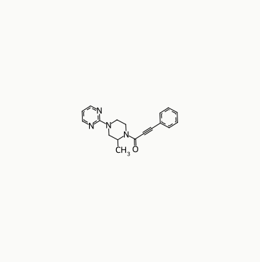 CC1CN(c2ncccn2)CCN1C(=O)C#Cc1ccccc1